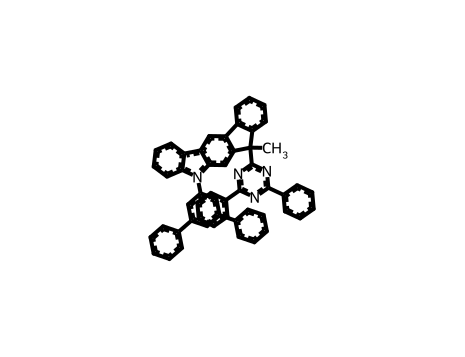 CC1(c2nc(-c3ccccc3)nc(-c3ccccc3)n2)c2ccccc2-c2cc3c4ccccc4n(-c4cc(-c5ccccc5)cc(-c5ccccc5)c4)c3cc21